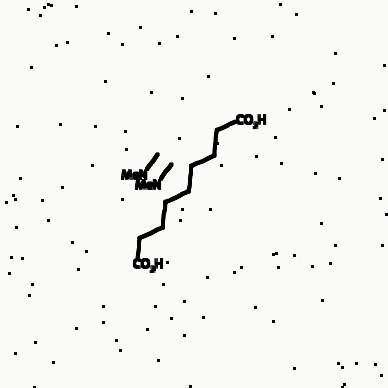 CNC.CNC.O=C(O)CCCCCCCC(=O)O